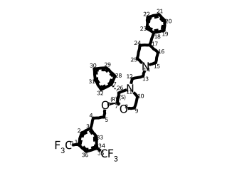 FC(F)(F)c1cc(CCO[C@@H]2OCCN(CCN3CCC(c4ccccc4)CC3)[C@H]2c2ccccc2)cc(C(F)(F)F)c1